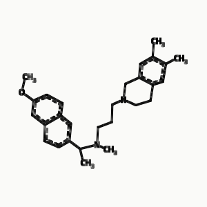 COc1ccc2cc(C(C)N(C)CCCN3CCc4cc(C)c(C)cc4C3)ccc2c1